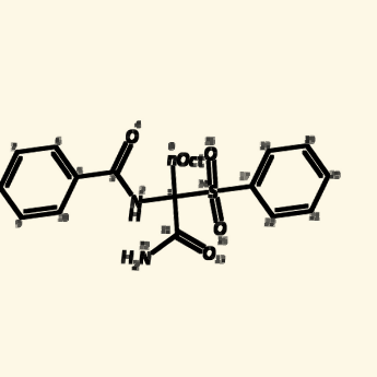 CCCCCCCCC(NC(=O)c1ccccc1)(C(N)=O)S(=O)(=O)c1ccccc1